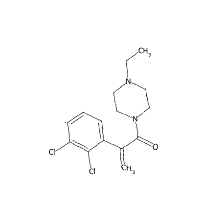 C=C(C(=O)N1CCN(CC)CC1)c1cc[c]c(Cl)c1Cl